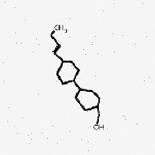 CCC=CC1CCC(C2CCC(CO)CC2)CC1